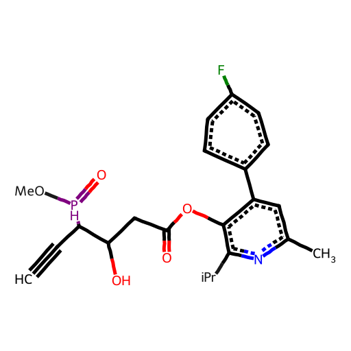 C#CC(C(O)CC(=O)Oc1c(-c2ccc(F)cc2)cc(C)nc1C(C)C)[PH](=O)OC